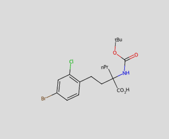 CCCC(CCc1ccc(Br)cc1Cl)(NC(=O)OC(C)(C)C)C(=O)O